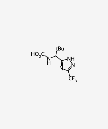 CC(C)(C)C(NC(=O)O)c1nc(C(F)(F)F)n[nH]1